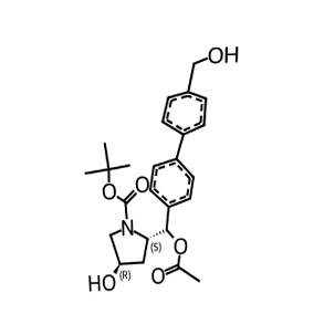 CC(=O)OC(c1ccc(-c2ccc(CO)cc2)cc1)[C@@H]1C[C@@H](O)CN1C(=O)OC(C)(C)C